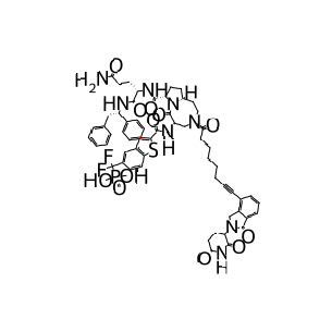 NC(=O)CC[C@H](NC(=O)[C@@H]1CC[C@@H]2CCN(C(=O)CCCCCC#Cc3cccc4c3CN(C3CCC(=O)NC3=O)C4=O)C[C@H](NC(=O)c3cc4cc(C(F)(F)P(=O)(O)O)ccc4s3)C(=O)N21)C(=O)N[C@@H](Cc1ccccc1)c1ccccc1